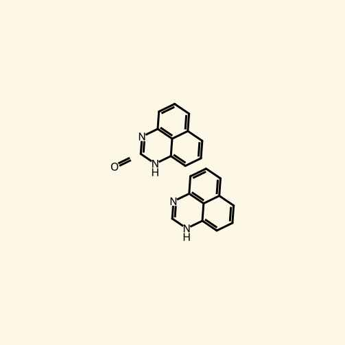 C1=Nc2cccc3cccc(c23)N1.C1=Nc2cccc3cccc(c23)N1.C=O